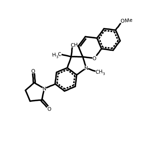 COc1ccc2c(c1)C=CC1(O2)N(C)c2ccc(N3C(=O)CCC3=O)cc2C1(C)C